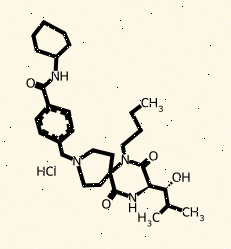 CCCCN1C(=O)[C@@H]([C@H](O)C(C)C)NC(=O)C12CCN(Cc1ccc(C(=O)NC3CCCCC3)cc1)CC2.Cl